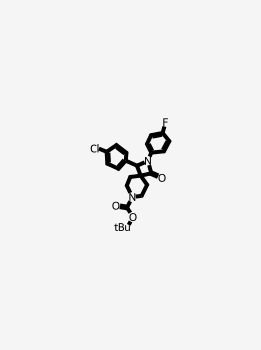 CC(C)(C)OC(=O)N1CCC2(CC1)C(=O)N(c1ccc(F)cc1)C2c1ccc(Cl)cc1